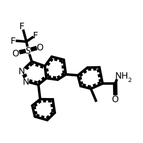 Cc1cc(-c2ccc3c(S(=O)(=O)C(F)(F)F)nnc(-c4ccccc4)c3c2)ccc1C(N)=O